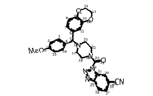 COc1ccc(C(c2ccc3c(c2)OCCO3)N2CCN(C(=O)n3nnc4ccc(C#N)cc43)CC2)cc1